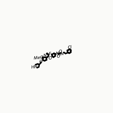 COc1c(OCC2CCNCC2)ccc2c(Oc3ccc(NC(=O)C(=O)NCCc4cccc(Cl)c4)cc3F)ccnc12